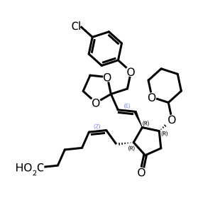 O=C(O)CCC/C=C\C[C@H]1C(=O)C[C@@H](OC2CCCCO2)[C@@H]1/C=C/C1(COc2ccc(Cl)cc2)OCCO1